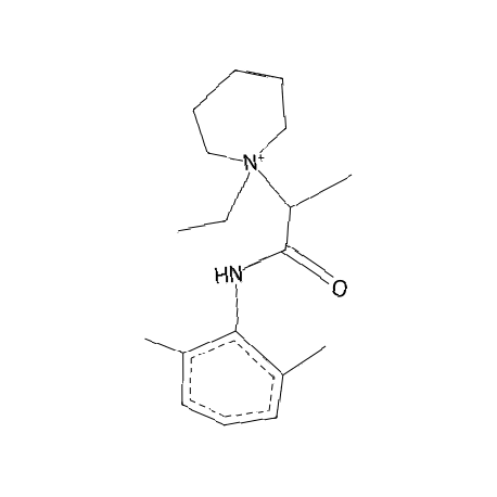 CC[N+]1(C(C)C(=O)Nc2c(C)cccc2C)CCCCC1